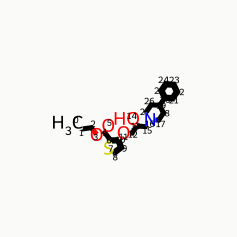 CCCOC(=O)c1sccc1OCC(O)CN1CCC(c2ccccc2)CC1